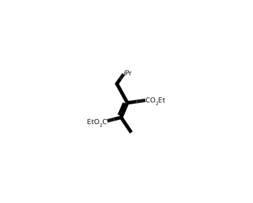 CCOC(=O)C(C)=C(CC(C)C)C(=O)OCC